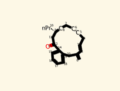 C=C1/C=C/CCCCC[C@@H](CCC)CC(=O)c2ccccc2C1